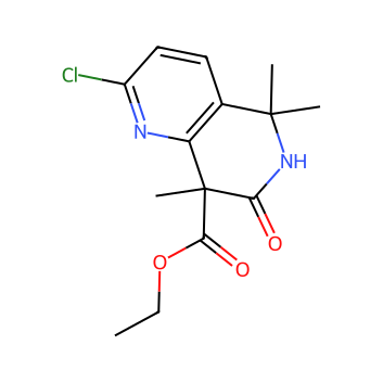 CCOC(=O)C1(C)C(=O)NC(C)(C)c2ccc(Cl)nc21